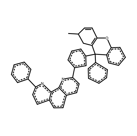 CC1C=CC2=C(C1)C(c1ccccc1)(c1cccc(-c3ccc4ccc5ccc(-c6ccccc6)nc5c4n3)c1)c1ccccc1O2